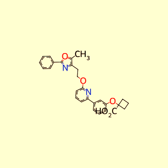 Cc1oc(-c2ccccc2)nc1CCOc1cccc(-c2cccc(OC3(C(=O)O)CCC3)c2)n1